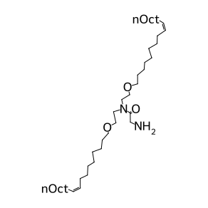 CCCCCCCC/C=C\CCCCCCCCOCCN(CCOCCCCCCCC/C=C\CCCCCCCC)C(=O)CN